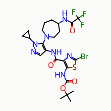 CC(C)(C)OC(=O)Nc1sc(Br)nc1C(=O)Nc1cnn(C2CC2)c1N1CCC[C@@H](NC(=O)C(F)(F)F)CC1